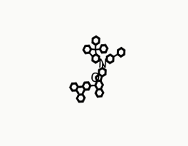 c1ccc(-c2ccc(N(c3ccc4c(c3)C(c3ccccc3)(c3ccccc3)c3ccccc3-4)c3ccc4c(c3)oc3c(-c5ccc6c7ccccc7c7ccccc7c6c5)c5ccccc5cc34)cc2)cc1